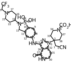 N#CCC1(n2nc(Nc3ccc4c(c3)CN(C3CCN(CC(F)(F)F)CC3)S4(O)O)c3c(=O)[nH]ccc32)CCN(C(=O)O)CC1